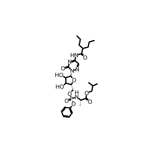 CCCC(CCC)C(=O)Nc1cnn([C@@H]2O[C@H](COP(=O)(N[C@@H](C)C(=O)OCC(C)C)Oc3ccccc3)C(O)C2O)c(=O)n1